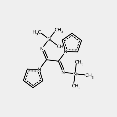 C[Si](C)(C)N=C(C(=N[Si](C)(C)C)n1cccc1)n1cccc1